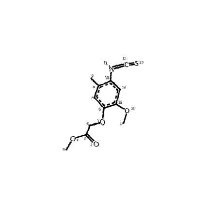 COC(=O)COc1cc(C)c(N=C=S)cc1OC